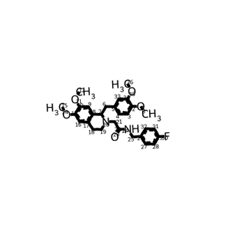 COc1ccc(CC2c3cc(OC)c(OC)cc3CCN2CC(=O)NCc2ccc(F)cc2)cc1OC